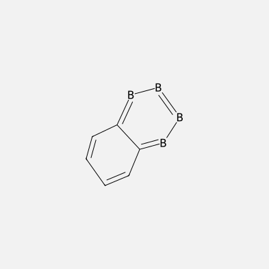 b1bbc2ccccc2b1